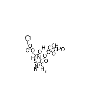 CC1=C(C(=O)OCOC(=O)C(C)(C)C=O)N2C(=O)[C@H](COC(=O)OCc3ccccc3)[C@@H]2SC1=[N+]=[N-]